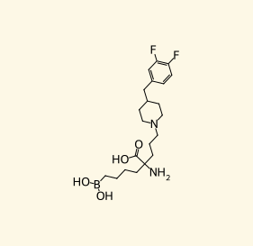 NC(CCCCB(O)O)(CCCN1CCC(Cc2ccc(F)c(F)c2)CC1)C(=O)O